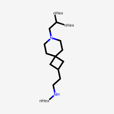 CCCCCCNCCC1CC2(CCN(CC(CCCCCC)CCCCCC)CC2)C1